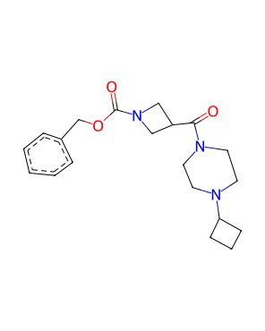 O=C(OCc1ccccc1)N1CC(C(=O)N2CCN(C3CCC3)CC2)C1